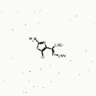 CO/N=C(\[C]=O)c1nc(N)sc1Cl